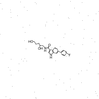 O=C(NCC(O)CCCO)c1c[nH]c2cc(-c3ccc(F)cc3)ccc12